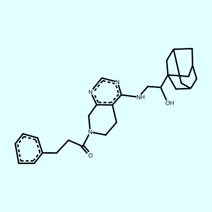 O=C(CCc1ccccc1)N1CCc2c(ncnc2NCC(O)C23CC4CC(CC(C4)C2)C3)C1